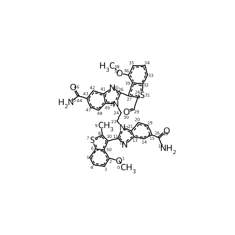 COc1cccc2sc(C)c(-c3nc4cc(C(N)=O)ccc4n3CCn3c(-c4c(C=O)sc5cccc(OC)c45)nc4cc(C(N)=O)ccc43)c12